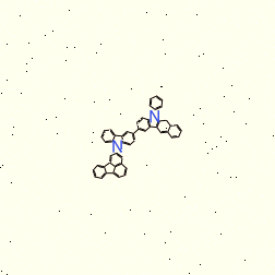 C1=CC2=Cc3c(n(-c4ccccc4)c4ccc(-c5ccc6c(c5)c5ccccc5n6-c5cc6c7c(cccc7c5)-c5ccccc5-6)cc34)CC2C=C1